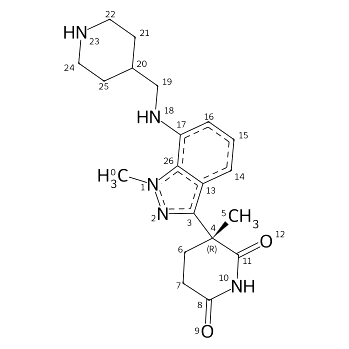 Cn1nc([C@@]2(C)CCC(=O)NC2=O)c2cccc(NCC3CCNCC3)c21